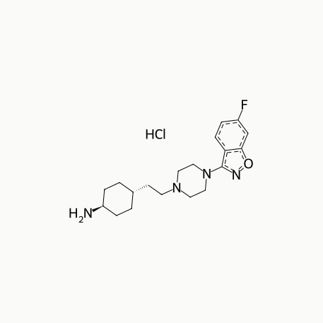 Cl.N[C@H]1CC[C@H](CCN2CCN(c3noc4cc(F)ccc34)CC2)CC1